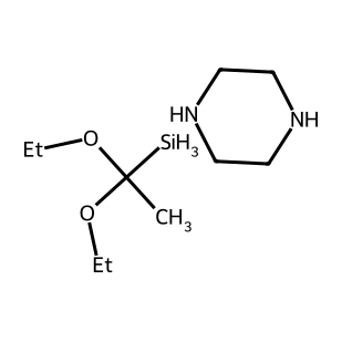 C1CNCCN1.CCOC(C)([SiH3])OCC